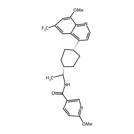 COc1ccc(C(=O)NC(C)[C@H]2CC[C@@H](c3ccnc4c(OC)cc(C(F)(F)F)cc43)CC2)cn1